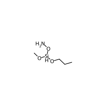 CCCO[SiH](OC)ON